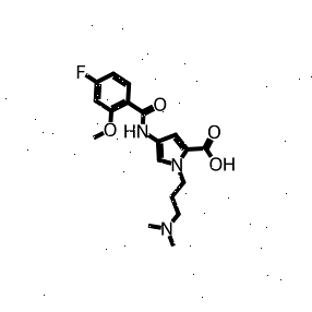 COc1cc(F)ccc1C(=O)Nc1cc(C(=O)O)n(CCCN(C)C)c1